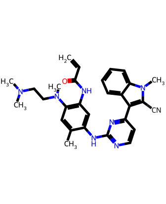 C=CC(=O)Nc1cc(Nc2nccc(-c3c(C#N)n(C)c4ccccc34)n2)c(C)cc1N(C)CCN(C)C